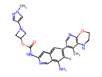 Cc1c(-c2cc3cc(NC(=O)OC4CN(c5cnn(C)c5)C4)ncc3c(N)c2F)cnc2c1NCCO2